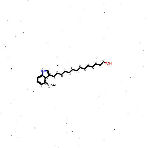 COc1cccc2[nH]cc(CCCCCCCCCCCCCCO)c12